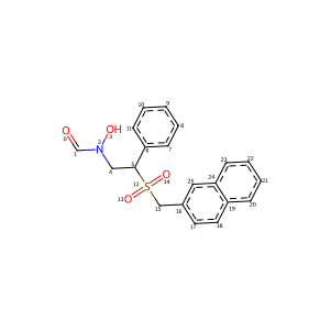 O=CN(O)CC(c1ccccc1)S(=O)(=O)Cc1ccc2ccccc2c1